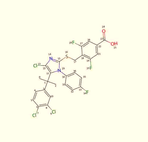 CC(C)(c1ccc(Cl)c(Cl)c1)c1c(Cl)nc(SCc2c(F)cc(C(=O)O)cc2F)n1-c1ccc(F)cc1